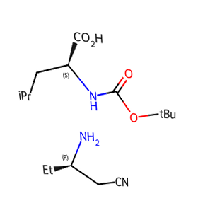 CC(C)C[C@H](NC(=O)OC(C)(C)C)C(=O)O.CC[C@@H](N)CC#N